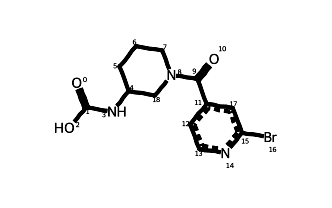 O=C(O)NC1CCCN(C(=O)c2ccnc(Br)c2)C1